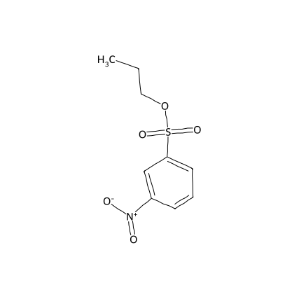 CCCOS(=O)(=O)c1cccc([N+](=O)[O-])c1